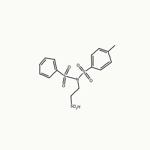 Cc1ccc(S(=O)(=O)N(CCS(=O)(=O)O)S(=O)(=O)c2ccccc2)cc1